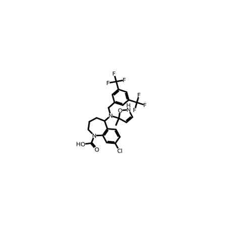 CC1(N(Cc2cc(C(F)(F)F)cc(C(F)(F)F)c2)C2CCCN(C(=O)O)c3cc(Cl)ccc32)C=CNO1